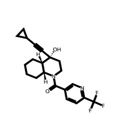 O=C(c1ccc(C(F)(F)F)nc1)N1CC[C@](O)(C#CC2CC2)[C@H]2CCCC[C@H]21